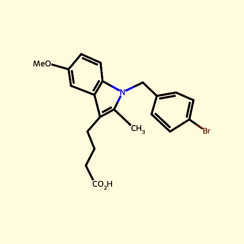 COc1ccc2c(c1)c(CCCC(=O)O)c(C)n2Cc1ccc(Br)cc1